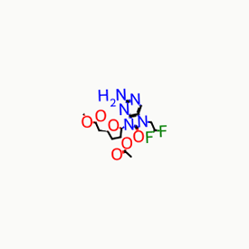 COC(=O)C[C@@H]1C[C@@H](OC(C)=O)[C@H](n2c(=O)n(CC(F)F)c3cnc(N)nc32)O1